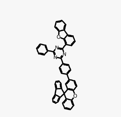 c1ccc(-c2nc(-c3ccc(-c4ccc5c(c4)C4(c6ccccc6O5)c5ccccc5-c5ccccc54)cc3)nc(-c3cccc4c3oc3ccccc34)n2)cc1